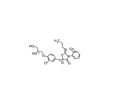 CCC/N=C1\SC2(OC2c2ccc(OC[C@@H](O)CO)c(Cl)c2)C(=O)N1c1ccccc1C